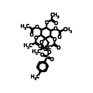 CC(=O)OC1C(OC(C)=O)[C@](CCOS(=O)(=O)c2ccc(C)cc2)(OC(C)=O)[C@@H](OC(C)=O)C(OC(C)=O)[C@H]1OC(C)=O